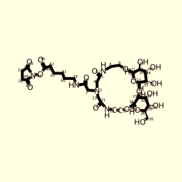 O=C(CN1CC(=O)NCCO[C@@H]2O[C@@H](O[C@@H]3[C@@H](OCCNC(=O)C1)O[C@H](CO)[C@@H](O)[C@@H]3O)[C@@H](O)[C@@H](O)[C@@H]2O)NCCCCCC(=O)ON1C(=O)CCC1=O